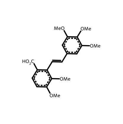 COc1cc(C=Cc2c(C(=O)O)ccc(OC)c2OC)cc(OC)c1OC